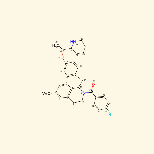 COc1ccc2c(c1)CCN(C(=O)c1ccc(F)cc1)C2Cc1ccc(OC(C)C2CCCCN2)cc1